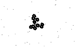 c1ccc(-c2c(-c3ccc(N(c4ccc(-c5cccc6ccccc56)cc4)c4cc5ccccc5c5ccccc45)cc3)ccc3ccccc23)cc1